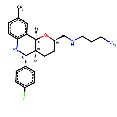 NCCCNC[C@H]1CC[C@@H]2[C@H](O1)c1cc(C(F)(F)F)ccc1N[C@H]2c1ccc(F)cc1